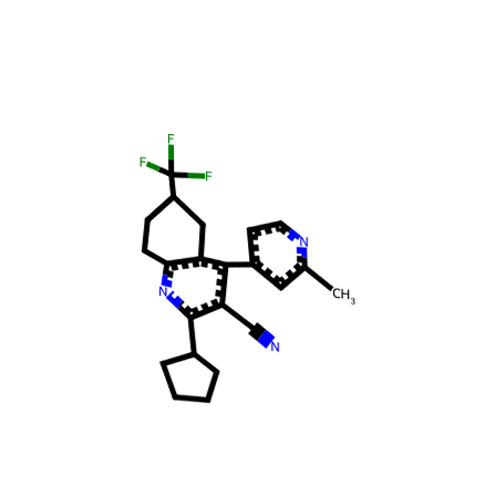 Cc1cc(-c2c(C#N)c(C3CCCC3)nc3c2CC(C(F)(F)F)CC3)ccn1